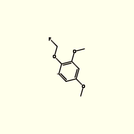 COc1c[c]c(OCF)c(OC)c1